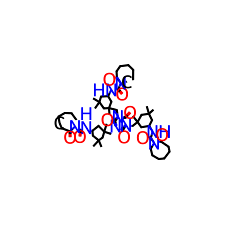 CC1(C)CC(NC(=O)N2CCCCCCC2=O)CC(C)(Cn2c(=O)n(CC3(C)CC(NC(=O)N4CCCCCCC4=O)CC(C)(C)C3)c(=O)n(CC3(C)CC(NC(=O)N4CCCCCCC4=O)CC(C)(C)C3)c2=O)C1